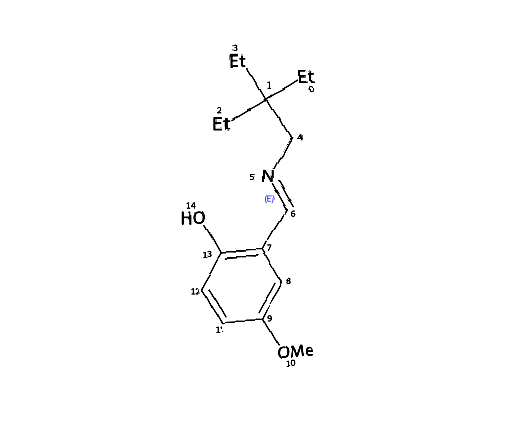 CCC(CC)(CC)C/N=C/c1cc(OC)ccc1O